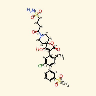 Cc1cc(-c2cccc(S(C)(=O)=O)c2)c(Cl)cc1C1=C(O)C2(CCN(C(=O)CCCS(N)(=O)=O)CC2)OC1=O